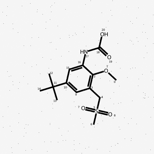 COc1c(CS(C)(=O)=O)cc(C(C)(C)C)cc1NC(=O)O